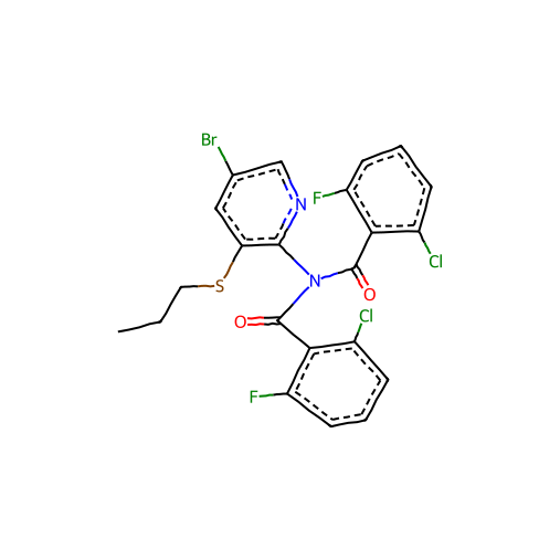 CCCSc1cc(Br)cnc1N(C(=O)c1c(F)cccc1Cl)C(=O)c1c(F)cccc1Cl